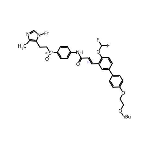 CCCCOCCOc1ccc(-c2ccc(OC(F)F)c(/C=C/C(=O)Nc3ccc([S@@+]([O-])CCc4c(C)ncn4CC)cc3)c2)cc1